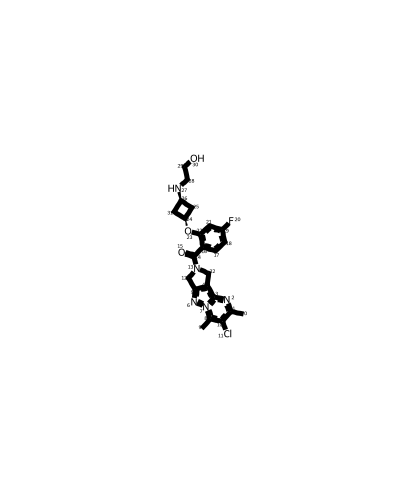 Cc1nc2c3c(nn2c(C)c1Cl)CN(C(=O)c1ccc(F)cc1O[C@H]1C[C@H](NCCO)C1)C3